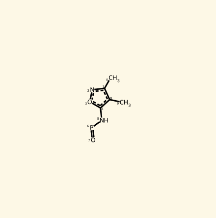 Cc1noc(NP=O)c1C